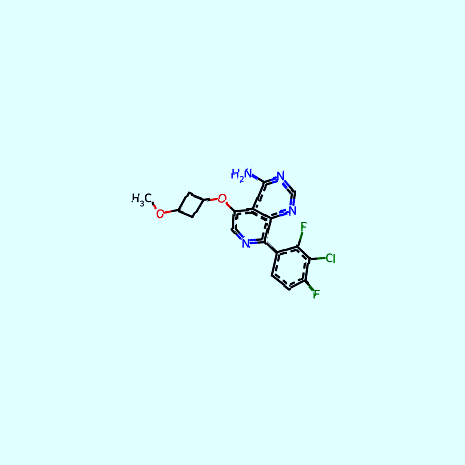 COC1CC(Oc2cnc(-c3ccc(F)c(Cl)c3F)c3ncnc(N)c23)C1